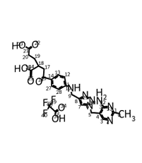 Cc1ncc(Cn2cc(CNc3ccc(C(=O)CC(CCC(=O)O)C(=O)O)cc3)nn2)c(N)n1.O=C(O)C(F)(F)F